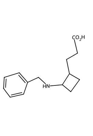 O=C(O)CCC1CCC1NCc1ccccc1